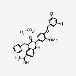 CC(=O)O.COc1cc([C@@H](Nc2ccc(C(=N)N)cc2)C(=O)NCc2ccccc2)ccc1OCc1cc(Cl)cc(Cl)c1